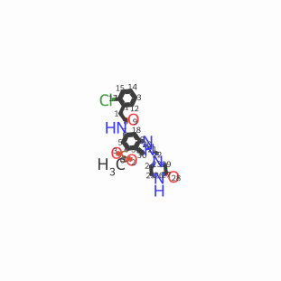 CS(=O)(=O)c1cc(NC(=O)Cc2ccccc2Cl)cc2nn(CN3CCNC(=O)C3)cc12